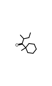 CCC(C)C(=O)C1(C)CCCCC1